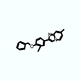 Cc1ccn2cc(-c3ccc(OCc4ccccc4)c(C)c3)nc2c1